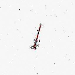 CCC=CCC=CCC=CCC=CCC=CCC=CCCC(=O)NCCOCCNC(=O)c1ccccc1O